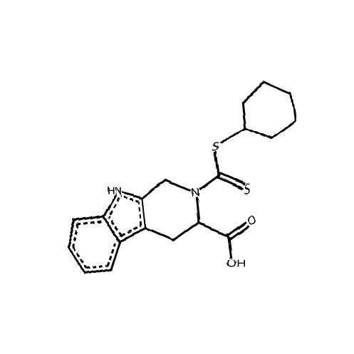 O=C(O)C1Cc2c([nH]c3ccccc23)CN1C(=S)SC1CCCCC1